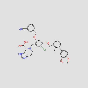 Cc1c(COc2cc(OCc3cccc(C#N)c3)c(CN3CCc4nc[nH]c4C3C(=O)O)cc2Cl)cccc1-c1ccc2c(c1)OCCO2